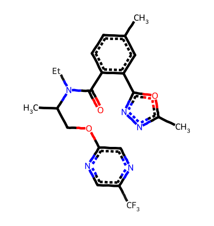 CCN(C(=O)c1ccc(C)cc1-c1nnc(C)o1)C(C)COc1cnc(C(F)(F)F)cn1